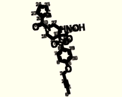 CC#CCOc1ccc(S(=O)(=O)C2(C(=O)NO)CCN(C(=O)c3cccs3)CC2)cc1